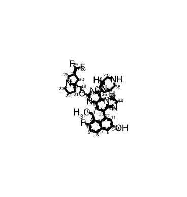 CCc1c(F)ccc2cc(O)cc(-c3cc4nc(OC[C@@]56CCCN5CC(=C(F)F)C6)nc(N5[C@@H]6CC[C@H]5CNC6)c4n4ccnc34)c12